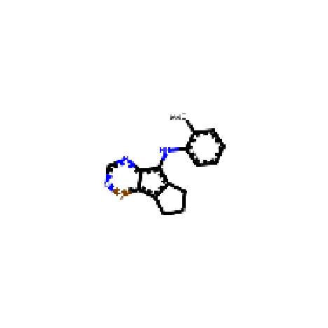 COc1ccccc1Nc1c2ncnsc-2c2c1CCC2